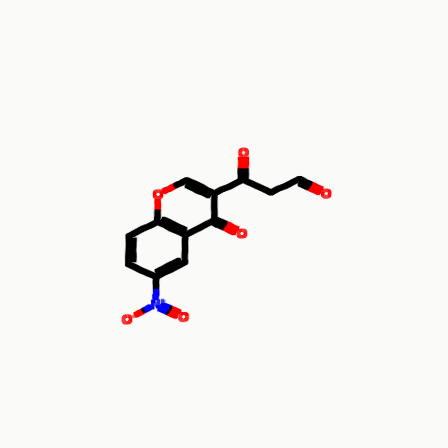 O=CCC(=O)c1coc2ccc([N+](=O)[O-])cc2c1=O